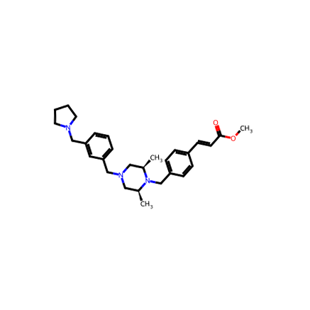 COC(=O)/C=C/c1ccc(CN2[C@H](C)CN(Cc3cccc(CN4CCCC4)c3)C[C@@H]2C)cc1